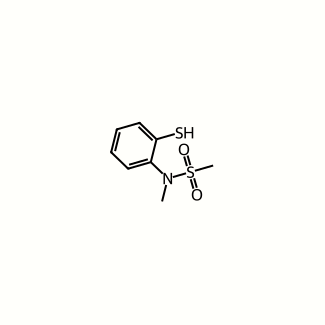 CN(c1ccccc1S)S(C)(=O)=O